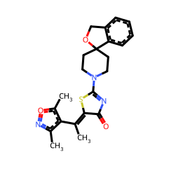 C/C(=C1/SC(N2CCC3(CC2)OCc2ccccc23)=NC1=O)c1c(C)noc1C